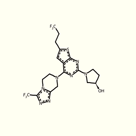 O[C@@H]1CCN(c2nc(N3CCn4c(nnc4C(F)(F)F)C3)c3cc(CCC(F)(F)F)sc3n2)C1